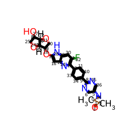 CS(C)(=O)=Nc1cnc(-c2ccc(-c3nc4cc(O[C@@H]5CO[C@H]6[C@@H]5OC[C@H]6O)[nH]c4cc3F)cc2)nc1